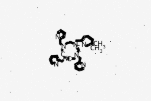 CC1(C)C=CC=C(CN2CCN(Cc3ccccn3)CCN(Cc3ccccn3)CCN(Cc3ccccn3)CC2)N=C1